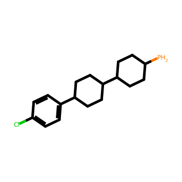 PC1CCC(C2CCC(c3ccc(Cl)cc3)CC2)CC1